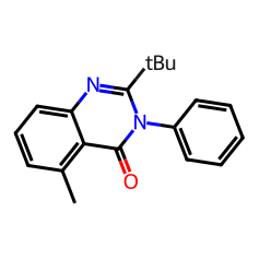 Cc1cccc2nc(C(C)(C)C)n(-c3ccccc3)c(=O)c12